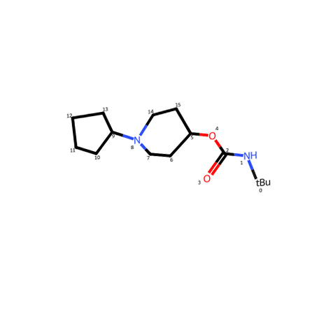 CC(C)(C)NC(=O)OC1CCN(C2CCCC2)CC1